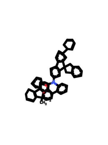 CC1(C)C2=C(CCC=C2)c2ccc(N(c3ccc4c(c3)C3(Cc5ccccc5C3)c3cc(C5C=CC=CC5)ccc3-4)c3ccccc3-c3cccc4c3oc3ccccc34)cc21